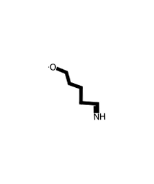 N=CCCCC[O]